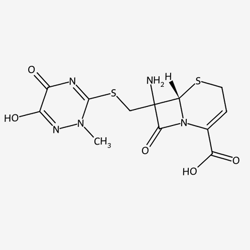 Cn1nc(O)c(=O)nc1SCC1(N)C(=O)N2C(C(=O)O)=CCS[C@H]21